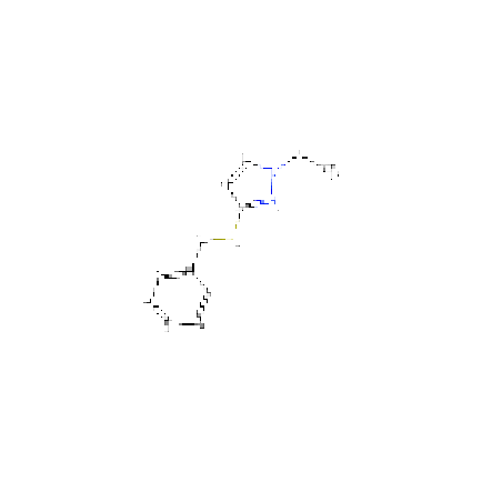 FC(F)(F)Cn1ccc(SCc2ccccc2)n1